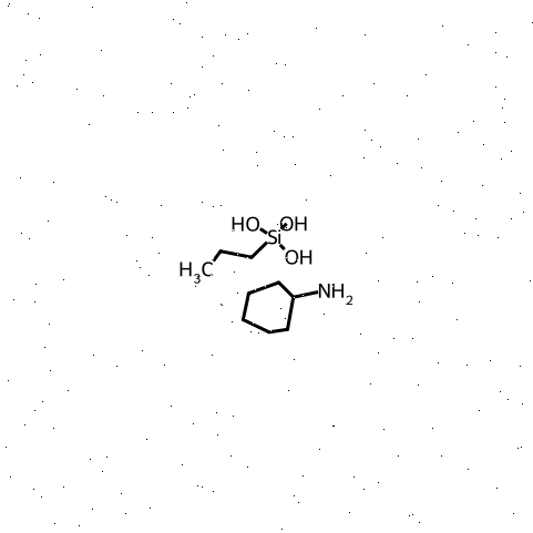 CCC[Si](O)(O)O.NC1CCCCC1